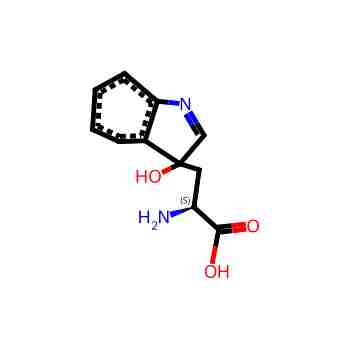 N[C@@H](CC1(O)C=Nc2ccccc21)C(=O)O